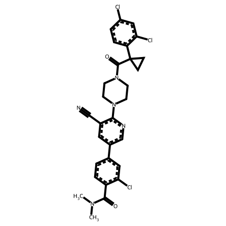 CN(C)C(=O)c1ccc(-c2cnc(N3CCN(C(=O)C4(c5ccc(Cl)cc5Cl)CC4)CC3)c(C#N)c2)cc1Cl